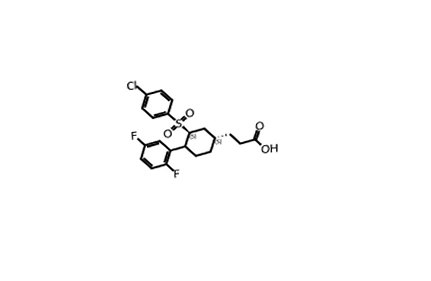 O=C(O)CC[C@@H]1CCC(c2cc(F)ccc2F)[C@@H](S(=O)(=O)c2ccc(Cl)cc2)C1